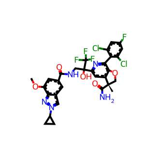 COc1cc(C(=O)NCC(O)(c2cc3c(c(-c4c(Cl)cc(F)cc4Cl)n2)OC[C@]3(C)C(N)=O)C(F)(F)F)cc2cn(C3CC3)nc12